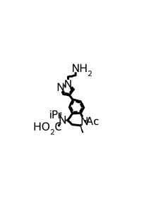 CC(=O)N1c2ccc(-c3cnn(CCN)c3)cc2[C@H](N(C(=O)O)C(C)C)C[C@@H]1C